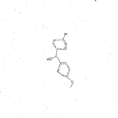 COc1ccc(C(O)c2ccc(Br)cc2)cc1